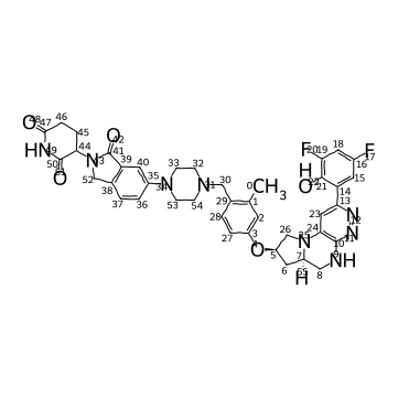 Cc1cc(O[C@@H]2C[C@@H]3CNc4nnc(-c5cc(F)cc(F)c5O)cc4N3C2)ccc1CN1CCN(c2ccc3c(c2)C(=O)N(C2CCC(=O)NC2=O)C3)CC1